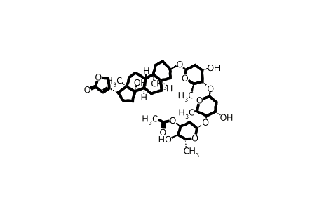 CC(=O)O[C@H]1C[C@H](O[C@H]2[C@@H](O)C[C@H](O[C@H]3[C@@H](O)C[C@H](O[C@@H]4CC[C@@]5(C)[C@H](CC[C@@H]6[C@@H]5CC[C@]5(C)[C@@H](C7=CC(=O)OC7)CC[C@]65O)C4)O[C@@H]3C)O[C@@H]2C)O[C@H](C)[C@H]1O